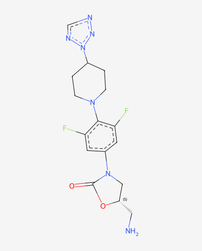 NC[C@H]1CN(c2cc(F)c(N3CCC(n4ncnn4)CC3)c(F)c2)C(=O)O1